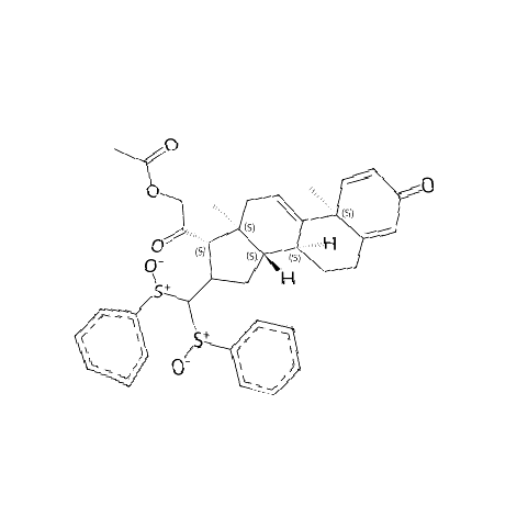 CC(=O)OCC(=O)[C@H]1C(C([S+]([O-])c2ccccc2)[S+]([O-])c2ccccc2)C[C@H]2[C@@H]3CCC4=CC(=O)C=C[C@]4(C)C3=CC[C@]12C